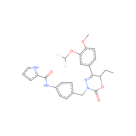 CCC1OC(=O)N(Cc2ccc(NC(=O)c3ccc[nH]3)cc2)N=C1c1ccc(OC)c(OC(F)F)c1